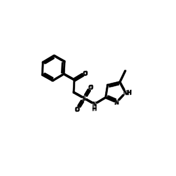 Cc1cc(NS(=O)(=O)CC(=O)c2ccccc2)n[nH]1